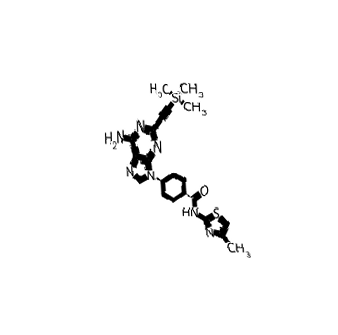 Cc1csc(NC(=O)[C@H]2CC[C@@H](n3cnc4c(N)nc(C#C[Si](C)(C)C)nc43)CC2)n1